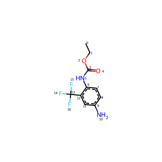 CCOC(=O)Nc1ccc(N)cc1C(F)(F)F